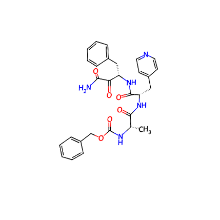 C[C@H](NC(=O)OCc1ccccc1)C(=O)N[C@@H](Cc1ccncc1)C(=O)N[C@@H](Cc1ccccc1)C(=O)C(N)=O